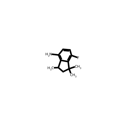 CC1CC(C)(C)c2c(F)ccc(N)c21